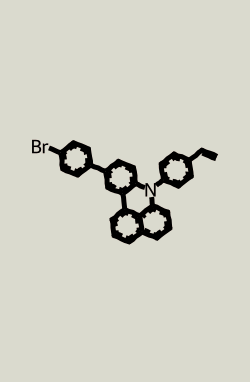 C=Cc1ccc(N2c3ccc(-c4ccc(Br)cc4)cc3-c3cccc4cccc2c34)cc1